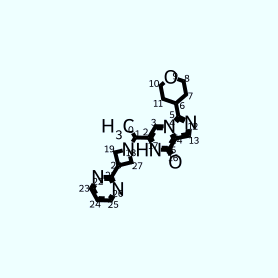 CC(c1cn2c(C3CCOCC3)ncc2c(=O)[nH]1)N1CC(c2ncccn2)C1